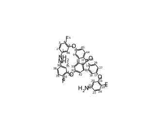 Nc1ccc(F)c(Oc2ccc(P(=O)(c3ccc(Oc4cc(N)ccc4F)cc3)c3ccc(Oc4cc(N)ccc4F)cc3)cc2)c1